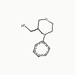 OCC1COCCN1c1ccccc1